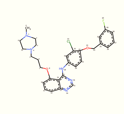 CN1CCN(CCCOc2cccc3ncnc(Nc4ccc(OCc5cccc(F)c5)c(Cl)c4)c23)CC1